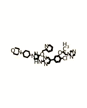 C[C@@H](Cn1cncn1)Oc1cc(-c2cnc(Nc3cn([C@H]4CC[C@H](N5CCOCC5)CC4)nc3OCc3ccccn3)nc2)ccc1Cl